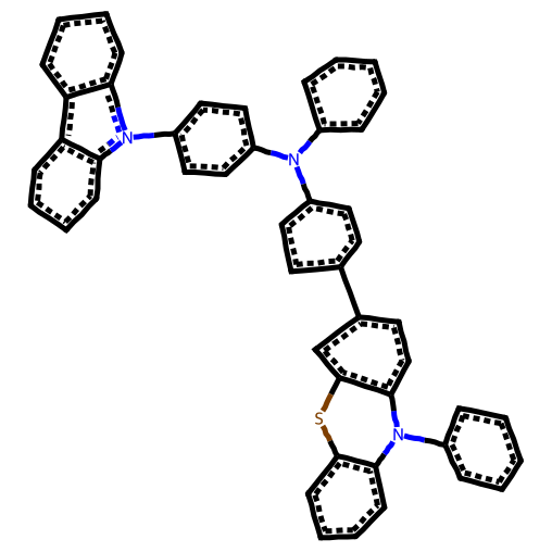 c1ccc(N(c2ccc(-c3ccc4c(c3)Sc3ccccc3N4c3ccccc3)cc2)c2ccc(-n3c4ccccc4c4ccccc43)cc2)cc1